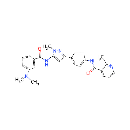 Cc1ncccc1C(=O)Nc1ccc(-c2cc(NC(=O)c3cccc(N(C)C)c3)n(C)n2)cc1